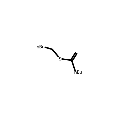 C=C(CCCC)SCCCCC